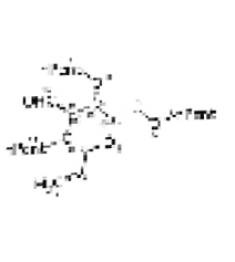 C=CCO[C@@H](COCCCCC)[C@@H](OCCCCC)[C@H](C=O)OCCCCC